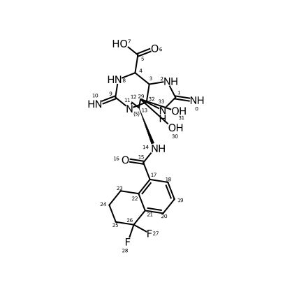 N=C1NC2C(C(=O)O)NC(=N)N3C[C@H](NC(=O)c4cccc5c4CCCC5(F)F)C(O)(O)C23N1